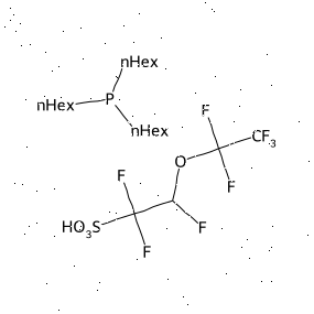 CCCCCCP(CCCCCC)CCCCCC.O=S(=O)(O)C(F)(F)C(F)OC(F)(F)C(F)(F)F